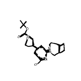 CC(C)(C)OC(=O)N1CC(c2cc(Cl)nc(N3CC4CCC4C3)c2)C1